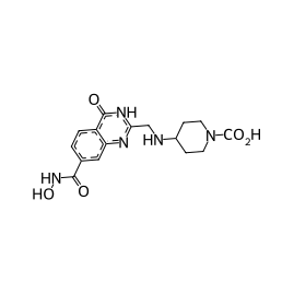 O=C(NO)c1ccc2c(=O)[nH]c(CNC3CCN(C(=O)O)CC3)nc2c1